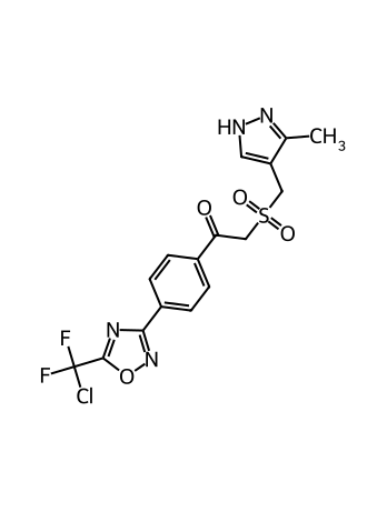 Cc1n[nH]cc1CS(=O)(=O)CC(=O)c1ccc(-c2noc(C(F)(F)Cl)n2)cc1